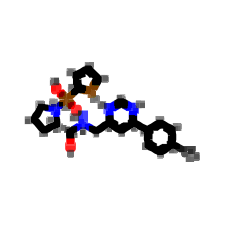 O=C(NCc1cc(-c2ccc(C(F)(F)F)cc2)ncn1)[C@@H]1CCCN1S(=O)(=O)c1cccs1